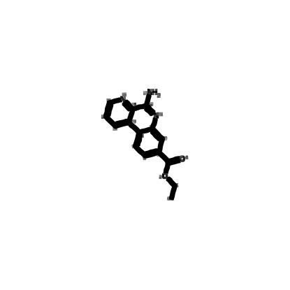 CCOC(=O)c1ccc2c(c1)nc(N)c1ncccc12